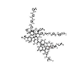 CCCCCCc1ccccc1C1(c2ccccc2CCCCCC)c2cc(C)ccc2-c2ccc(-c3ccc4c(c3)C(c3ccc(COCCOCCOCCO)c(C)c3)(c3ccc(OCCOCCOCCOC)c(N(C)C)c3)c3cc(C)ccc3-4)cc21